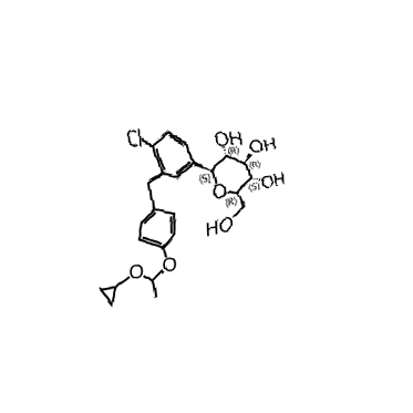 CC(Oc1ccc(Cc2cc([C@@H]3O[C@H](CO)[C@@H](O)[C@H](O)[C@H]3O)ccc2Cl)cc1)OC1CC1